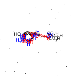 CCCC[C@H](NC(=O)CCC(=O)NCCCOCCOCCOCCCNC(=O)C(C(=O)O)N1CCN(CC(=O)O)CCN(CC(=O)O)CC1)C(=O)N[C@H]1CSCc2cccc(c2)CSCC(C(=O)O)NC(=O)[C@H](Cc2ccccc2)NC(=O)[C@H](CCC(N)=O)NC(=O)[C@H]([C@@H](C)O)NC(=O)[C@@H]2CCCN2C(=O)[C@@H]2CCCN2C1=O